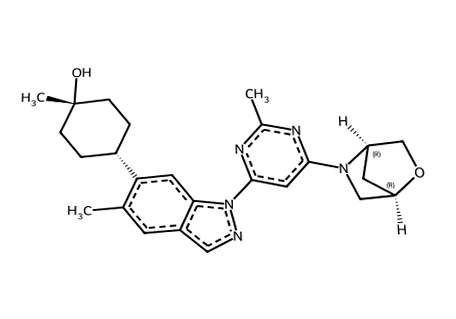 Cc1nc(N2C[C@H]3C[C@@H]2CO3)cc(-n2ncc3cc(C)c([C@H]4CC[C@@](C)(O)CC4)cc32)n1